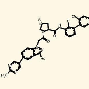 CC(=O)c1nn(CC(=O)[C@@H]2C[C@H](F)CC2C(=O)Nc2cccc(-c3ccccc3Cl)c2F)c2ccc(-c3cnc(C)nc3)cc12